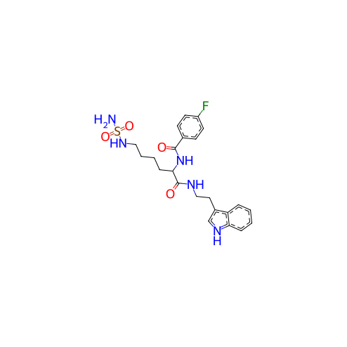 NS(=O)(=O)NCCCCC(NC(=O)c1ccc(F)cc1)C(=O)NCCc1c[nH]c2ccccc12